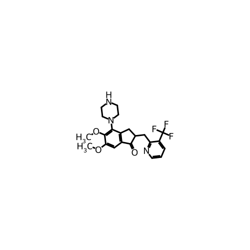 COc1cc2c(c(N3CCNCC3)c1OC)CC(Cc1ncccc1C(F)(F)F)C2=O